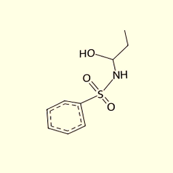 CCC(O)NS(=O)(=O)c1ccccc1